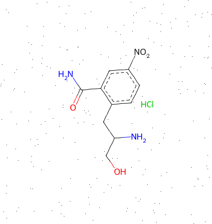 Cl.NC(=O)c1cc([N+](=O)[O-])ccc1CC(N)CO